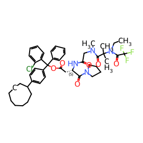 CCN(C(=O)C(F)(F)F)C(C)(C)C(=O)N(C)CC(=O)N[C@@H](CC(=O)OC(c1ccccc1)(c1ccc(C2CCCCCCCC2)cc1)c1ccccc1Cl)C(=O)N1CCCC1